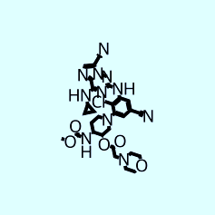 COC(=O)N[C@@H]1CCN(c2cc(C#N)cc(Nc3nc(NC4CC4)c4ncc(C#N)n4n3)c2Cl)C[C@@H]1OC(=O)CN1CCOCC1